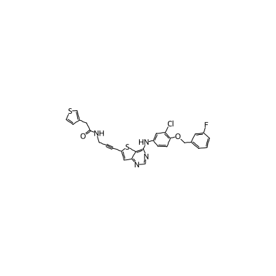 O=C(Cc1ccsc1)NCC#Cc1cc2ncnc(Nc3ccc(OCc4cccc(F)c4)c(Cl)c3)c2s1